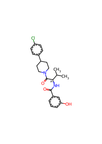 CC(C)[C@@H](NC(=O)c1cccc(O)c1)C(=O)N1CCC(c2ccc(Cl)cc2)CC1